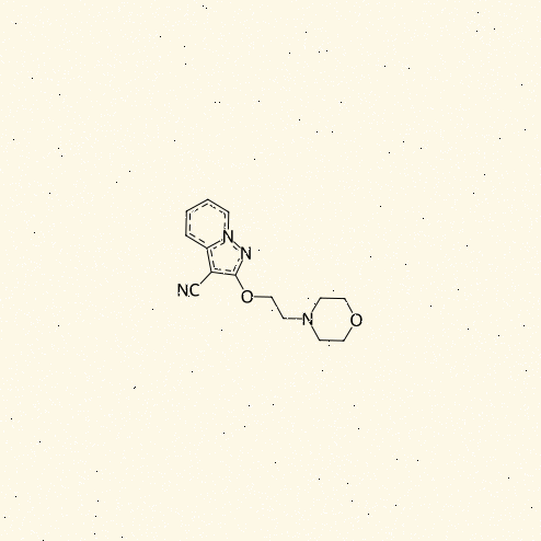 N#Cc1c(OCCN2CCOCC2)nn2ccccc12